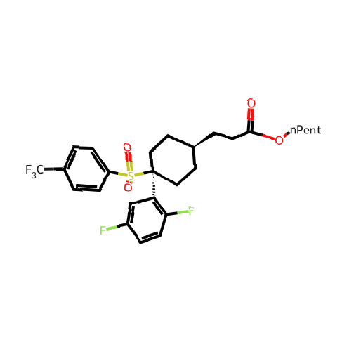 CCCCCOC(=O)CC[C@H]1CC[C@@](c2cc(F)ccc2F)(S(=O)(=O)c2ccc(C(F)(F)F)cc2)CC1